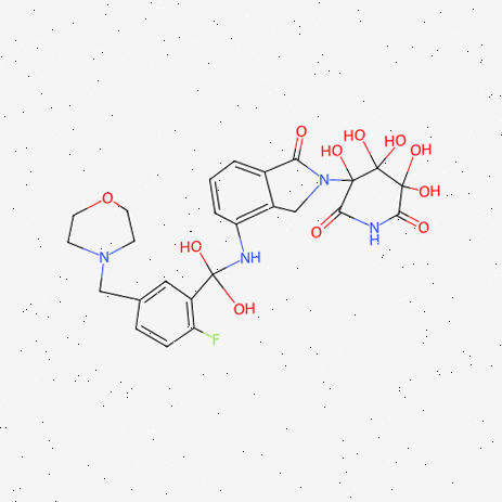 O=C1c2cccc(NC(O)(O)c3cc(CN4CCOCC4)ccc3F)c2CN1C1(O)C(=O)NC(=O)C(O)(O)C1(O)O